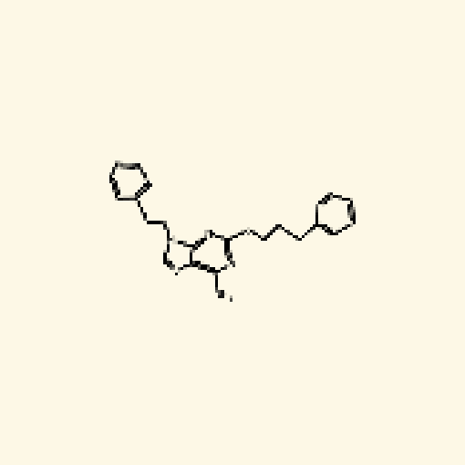 Nc1nc(SCCCc2ccccc2)nc2c1ncn2CCc1ccccc1